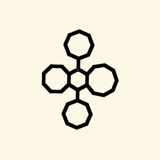 C1CCCC(B2C3CCCCCCCC3C(C3CCCCCCC3)C3CCCCCCC23)CCC1